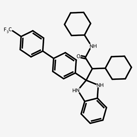 O=C(NC1CCCCC1)C(C1CCCCC1)C1(c2ccc(-c3ccc(C(F)(F)F)cc3)cc2)Nc2ccccc2N1